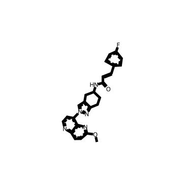 COc1ccc2nccc(-n3cc4c(n3)CCC(NC(=O)C=Cc3ccc(F)cc3)C4)c2n1